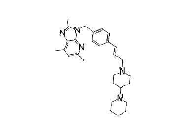 Cc1cc(C)c2nc(C)n(Cc3ccc(C=CCN4CCC(N5CCCCC5)CC4)cc3)c2n1